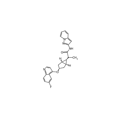 CC(C(=O)Nc1cc2ccccn2n1)[C@H]1[C@@H]2C[C@@H](Oc3ccnc4ccc(F)cc34)C[C@@H]21